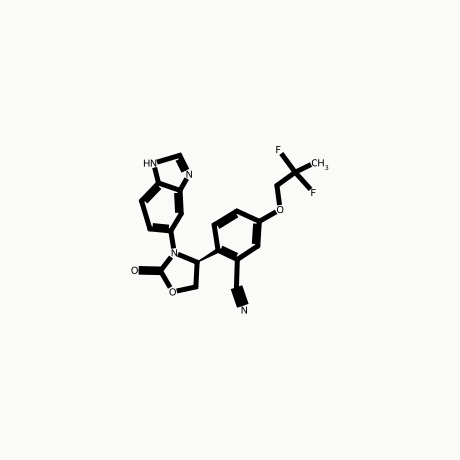 CC(F)(F)COc1ccc([C@H]2COC(=O)N2c2ccc3[nH]cnc3c2)c(C#N)c1